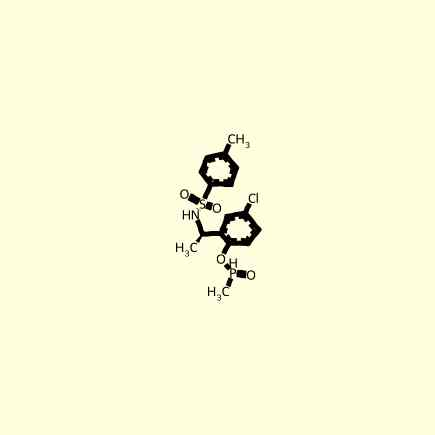 Cc1ccc(S(=O)(=O)N[C@H](C)c2cc(Cl)ccc2O[PH](C)=O)cc1